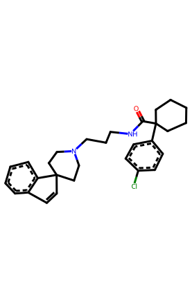 O=C(NCCCN1CCC2(C=Cc3ccccc32)CC1)C1(c2ccc(Cl)cc2)CCCCC1